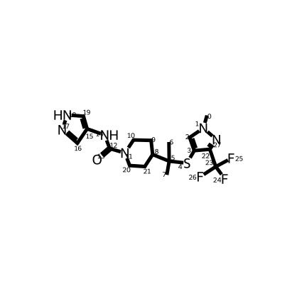 Cn1cc(SC(C)(C)C2CCN(C(=O)Nc3cn[nH]c3)CC2)c(C(F)(F)F)n1